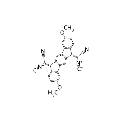 [C-]#[N+]/C(C#N)=C1/c2ccc(OC)cc2-c2cc3c(cc21)-c1cc(OC)ccc1/C3=C(/C#N)[N+]#[C-]